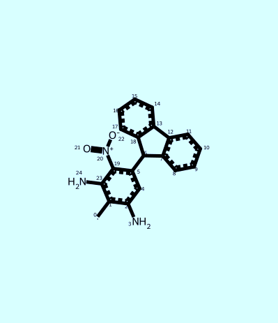 [CH2]c1c(N)cc(C2c3ccccc3-c3ccccc32)c([N+](=O)[O-])c1N